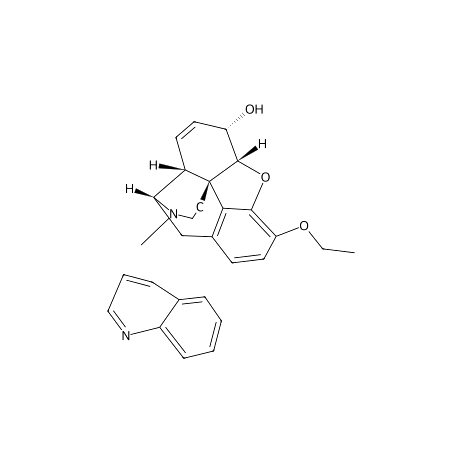 CCOc1ccc2c3c1O[C@H]1[C@@H](O)C=C[C@H]4[C@@H](C2)N(C)CC[C@@]341.c1ccc2ncccc2c1